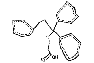 O=C(O)OC(Cc1ccccc1)(c1ccccc1)c1ccccc1